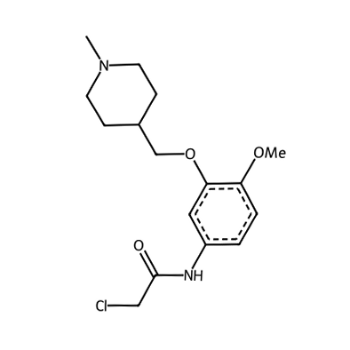 COc1ccc(NC(=O)CCl)cc1OCC1CCN(C)CC1